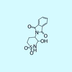 O=C1c2ccccc2C(=O)N1C1CCS(=O)(=O)NC1O